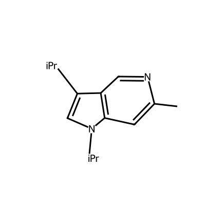 Cc1cc2c(cn1)c(C(C)C)cn2C(C)C